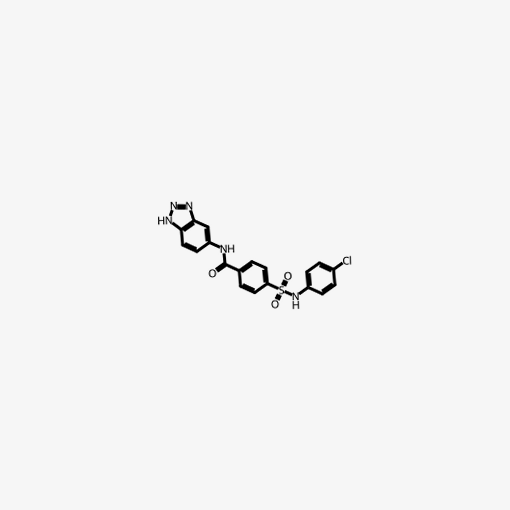 O=C(Nc1ccc2[nH]nnc2c1)c1ccc(S(=O)(=O)Nc2ccc(Cl)cc2)cc1